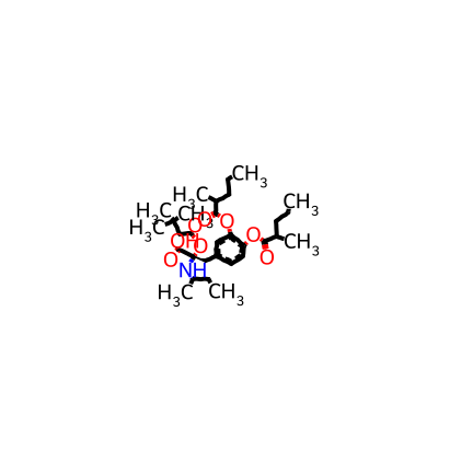 CCCC(C)C(=O)Oc1ccc(C[C@](NC(C)CC)(OC(=O)CC(C)(C)C)C(=O)O)cc1OC(=O)C(C)CCC